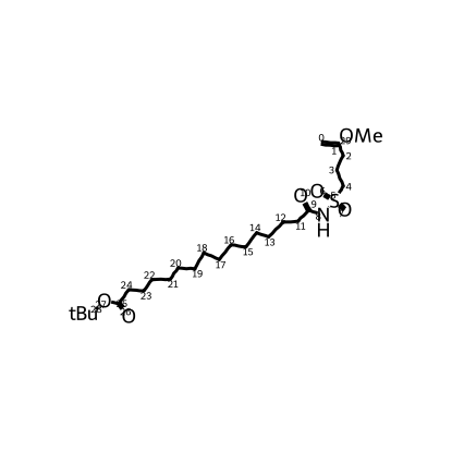 C=C(CCCS(=O)(=O)NC(=O)CCCCCCCCCCCCCCC(=O)OC(C)(C)C)OC